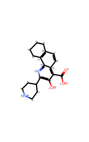 O=C(O)c1c(O)c(C2CCNCC2)nc2c3c(ccc12)CCCC3